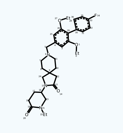 CCOc1cc(CN2CCC3(CC2)CC(=O)N(C2CCC(=O)N(CC)C2)C3)cc(OCC)c1-c1ccc(F)cc1